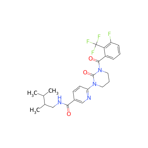 CC(C)C(C)CNC(=O)c1ccc(N2CCCN(C(=O)c3cccc(F)c3C(F)(F)F)C2=O)nc1